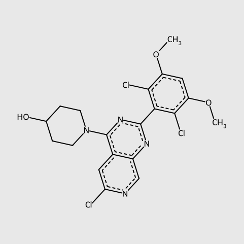 COc1cc(OC)c(Cl)c(-c2nc(N3CCC(O)CC3)c3cc(Cl)ncc3n2)c1Cl